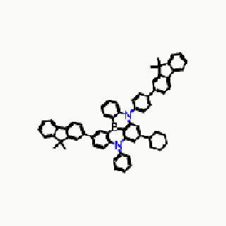 CC1(C)c2ccccc2-c2ccc(-c3ccc(N4c5ccccc5B5c6cc(-c7ccc8c(c7)C(C)(C)c7ccccc7-8)ccc6N(c6ccccc6)c6cc(C7CCCCC7)cc4c65)cc3)cc21